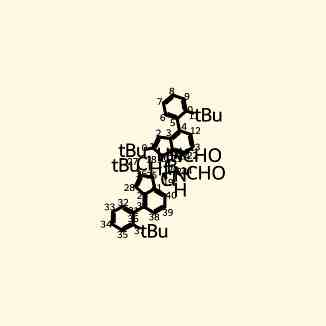 CC(C)(C)C1=Cc2c(-c3ccccc3C(C)(C)C)cccc2[CH]1[Hf]([Cl])([Cl])([B](NC=O)NC=O)[CH]1C(C(C)(C)C)=Cc2c(-c3ccccc3C(C)(C)C)cccc21